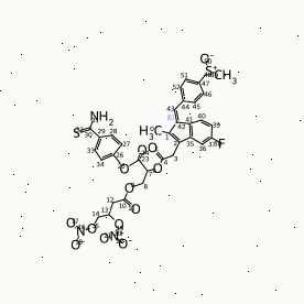 CC1=C(CC(=O)OC(COC(=O)CC(CO[N+](=O)[O-])O[N+](=O)[O-])C(=O)Oc2ccc(C(N)=S)cc2)c2cc(F)ccc2/C1=C\c1ccc([S+](C)[O-])cc1